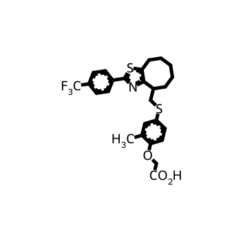 Cc1cc(SCC2CCCCCc3sc(-c4ccc(C(F)(F)F)cc4)nc32)ccc1OCC(=O)O